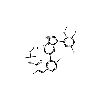 COc1c(F)cc(F)cc1-c1c[nH]c2ncc(-c3cc(C=C(C)C(=O)NC(C)(C)CO)ccc3F)cc12